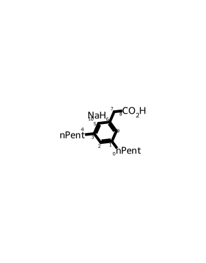 CCCCCc1cc(CCCCC)cc(CC(=O)O)c1.[NaH]